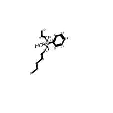 CCCCCO[Si](O)(OCC)c1ccccc1